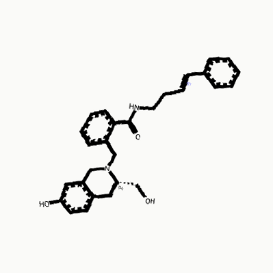 O=C(NCC/C=C/c1ccccc1)c1ccccc1CN1Cc2cc(O)ccc2C[C@H]1CO